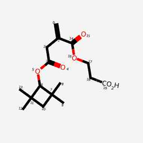 C=C(CC(=O)OC1C(C)(C)CC1(C)C)C(=O)OCCC(=O)O